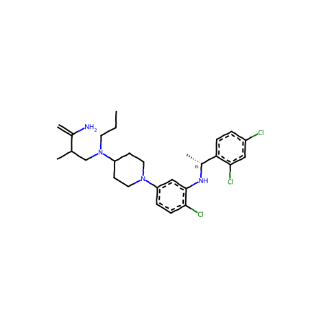 C=C(N)C(C)CN(CCC)C1CCN(c2ccc(Cl)c(N[C@H](C)c3ccc(Cl)cc3Cl)c2)CC1